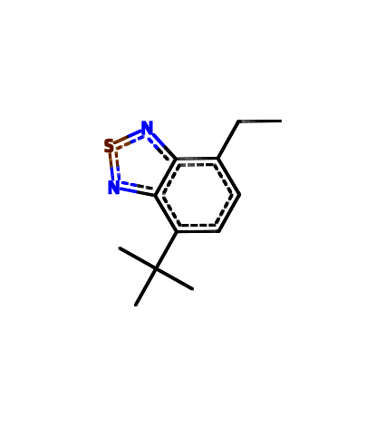 CCc1ccc(C(C)(C)C)c2nsnc12